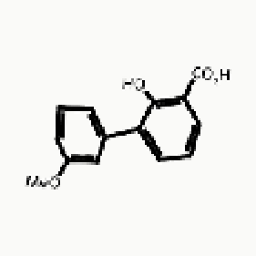 COc1cccc(-c2cccc(C(=O)O)c2O)c1